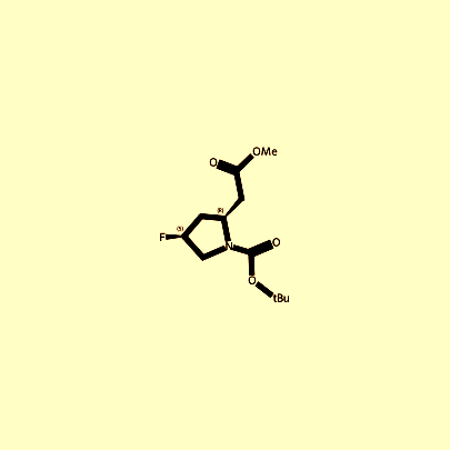 COC(=O)C[C@@H]1C[C@H](F)CN1C(=O)OC(C)(C)C